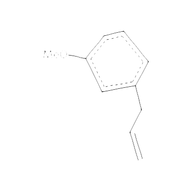 C=CCc1[c]c(OC)ccc1